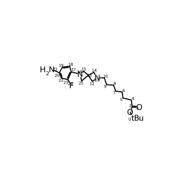 CC(C)(C)OC(=O)CCCCCCCN1CC2(C1)CN(c1ccc(N)cc1F)C2